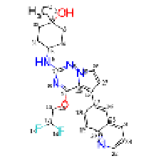 CC1(O)CCC(Nc2nc(OCC(F)F)c3c(-c4ccc5ncccc5c4)ccn3n2)CC1